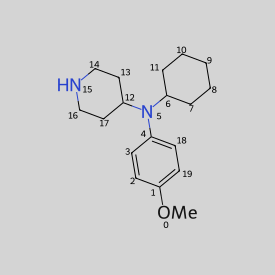 COc1ccc(N(C2CCCCC2)C2CCNCC2)cc1